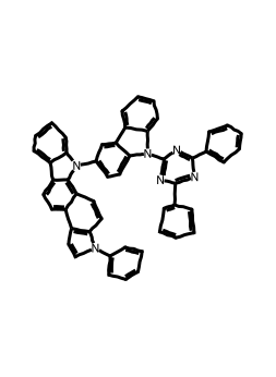 c1ccc(-c2nc(-c3ccccc3)nc(-n3c4ccccc4c4cc(-n5c6ccccc6c6ccc7c8ccn(-c9ccccc9)c8ccc7c65)ccc43)n2)cc1